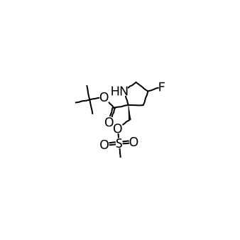 CC(C)(C)OC(=O)[C@@]1(COS(C)(=O)=O)CC(F)CN1